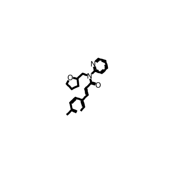 C=C(C)\C=C/C(/C=C/C(=O)N(CC1CCCO1)c1ccccn1)=C\C